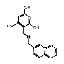 CC(C)(C)c1cc(O)c(CNCc2ccc3ccccc3c2)c(C(C)(C)C)c1